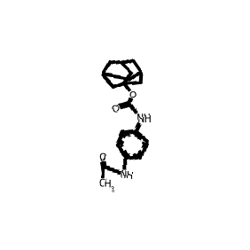 CC(=O)Nc1ccc(NC(=O)OC23CC4CC(CC(C4)C2)C3)cc1